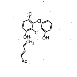 C=CC=CC(C)=O.Oc1ccc(Cl)c(Cl)c1Cl.Oc1ccccc1